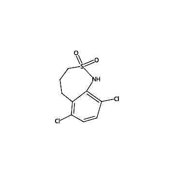 O=S1(=O)CCCc2c(Cl)ccc(Cl)c2N1